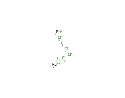 [Cl-].[Cl-].[Cl-].[Cl-].[Cl-].[Cl-].[Pd+2].[Ru+4]